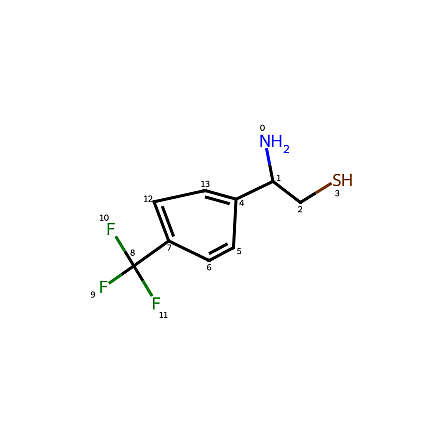 NC(CS)c1ccc(C(F)(F)F)cc1